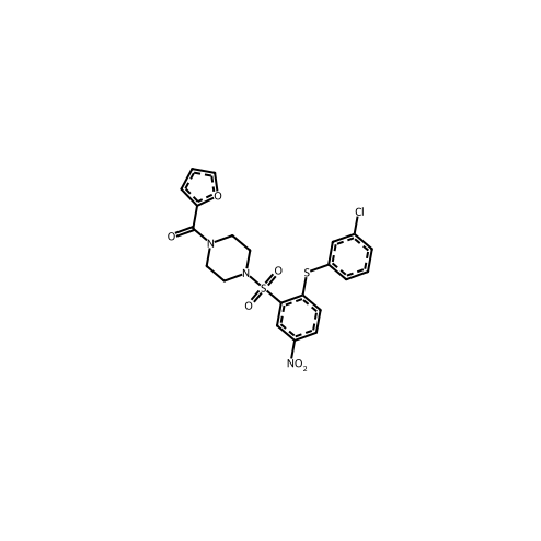 O=C(c1ccco1)N1CCN(S(=O)(=O)c2cc([N+](=O)[O-])ccc2Sc2cccc(Cl)c2)CC1